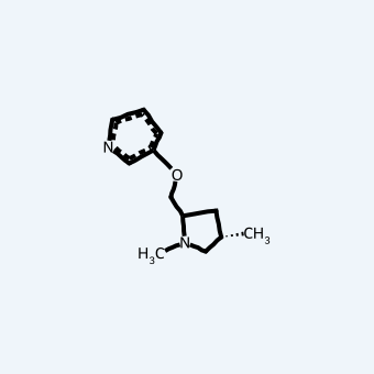 C[C@H]1CC(COc2cccnc2)N(C)C1